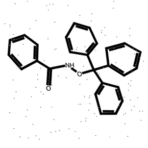 O=C(NOC(c1ccccc1)(c1ccccc1)c1ccccc1)c1ccccc1